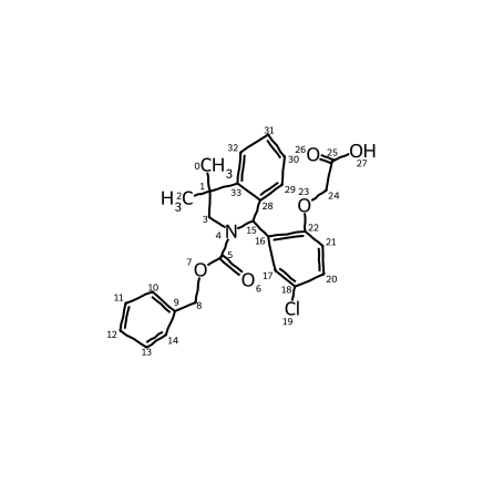 CC1(C)CN(C(=O)OCc2ccccc2)C(c2cc(Cl)ccc2OCC(=O)O)c2ccccc21